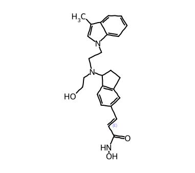 Cc1cn(CCN(CCO)C2CCc3cc(/C=C/C(=O)NO)ccc32)c2ccccc12